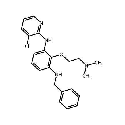 CN(C)CCOc1c(NCc2ccccc2)cccc1Nc1ncccc1Cl